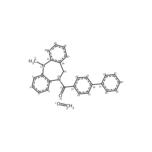 C=O.CN1c2ccccc2N(C(=O)c2ccc(-c3ccccc3)cc2)Cc2cccnc21